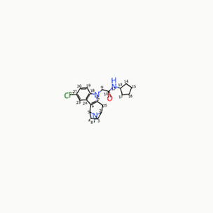 CN1C2CCC1c1c(n(CC(=O)NC3CCCC3)c3ccc(Cl)cc13)C2